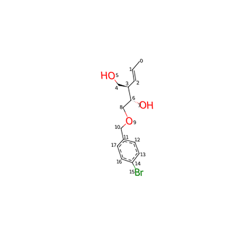 CC=C[C@H](CO)[C@H](O)COCc1ccc(Br)cc1